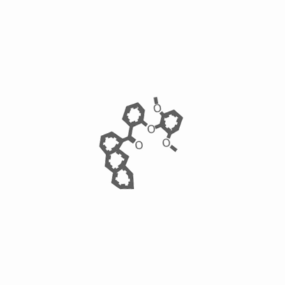 COc1cccc(OC)c1Oc1ccccc1C(=O)c1cccc2cc3ccccc3cc12